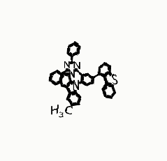 Cc1ccc2c(c1)c1ccccc1n2-c1ccc(-c2cccc3sc4ccccc4c23)cc1-c1nc(-c2ccccc2)nc(-c2ccccc2)n1